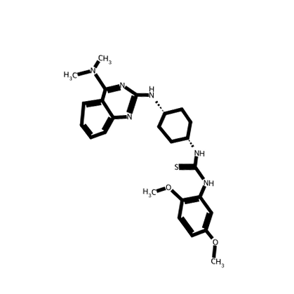 COc1ccc(OC)c(NC(=S)N[C@H]2CC[C@@H](Nc3nc(N(C)C)c4ccccc4n3)CC2)c1